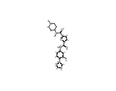 CN1CCC(N(C)C(=O)c2ccc(C(=O)Nc3ccc(-n4cncn4)c(F)c3)o2)CC1